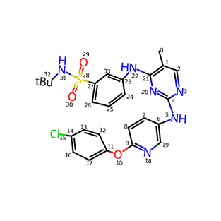 Cc1cnc(Nc2ccc(Oc3ccc(Cl)cc3)nc2)nc1Nc1cccc(S(=O)(=O)NC(C)(C)C)c1